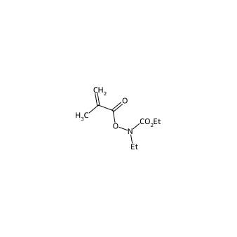 C=C(C)C(=O)ON(CC)C(=O)OCC